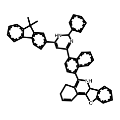 CC1(C)c2ccccc2-c2ccc(C3=CC(c4ccc(C5=C6CCC=CC6=C6Oc7ccccc7C6N5)c5ccccc45)=NC(c4ccccc4)N3)cc21